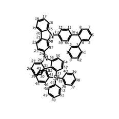 c1ccc(-c2ccccc2-c2ccc(-n3c4ccccc4c4ccc(-n5c6ccccc6c6c([Si](c7ccccc7)(c7ccccc7)c7ccccc7)cccc65)cc43)cc2)cc1